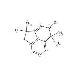 CC1(C)Cc2cccc3c2C1=N[S+]([O-])C3(C)C